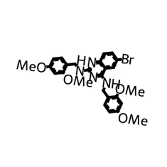 COc1ccc(CNc2nc(NCc3ccc(OC)cc3OC)c3cc(Br)ccc3n2)c(OC)c1